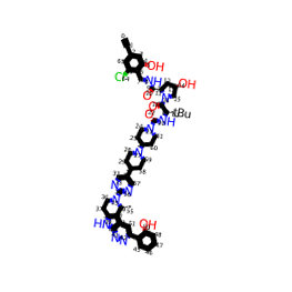 C#Cc1cc(O)c(CNC(=O)[C@@H]2C[C@@H](O)CN2C(=O)[C@@H](NC(=O)N2CCC(N3CCC(c4cnc(N5CCc6[nH]c7nnc(-c8ccccc8O)cc7c6[C@H]5C)nc4)CC3)CC2)C(C)(C)C)c(Cl)c1